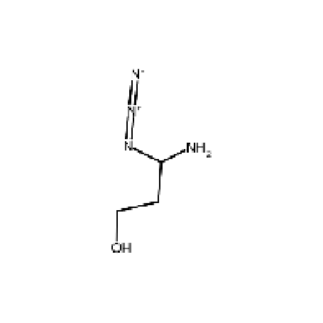 [N-]=[N+]=NC(N)CCO